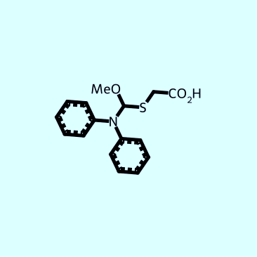 COC(SCC(=O)O)N(c1ccccc1)c1ccccc1